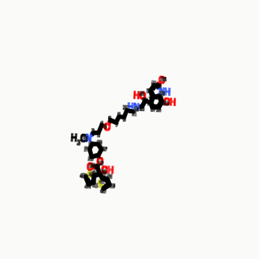 CN(CCCOCCCCCCNC[C@H](O)c1ccc(O)c2[nH]c(=O)ccc12)[C@H]1CC[C@H](OC(=O)C(O)(c2cccs2)c2cccs2)CC1